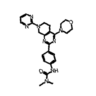 CN(C)C(=O)Nc1ccc(-c2nc3c(c(N4CCOCC4)n2)CCN(c2ncccn2)C3)cc1